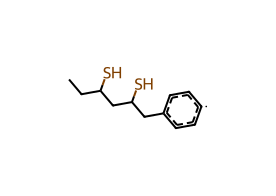 CCC(S)CC(S)Cc1cc[c]cc1